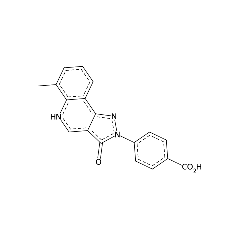 Cc1cccc2c3nn(-c4ccc(C(=O)O)cc4)c(=O)c-3c[nH]c12